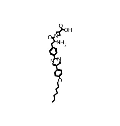 CCCCCCCOc1ccc(-c2cnc(-c3ccc(C[C@H](N)C(=O)N4CC(C(=O)O)C4)cc3)nc2)cc1